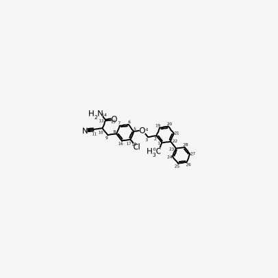 Cc1c(COc2ccc(CC(C#N)C(N)=O)cc2Cl)cccc1-c1ccccc1